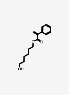 C=C(C(=O)OCCCCCCO)c1ccccc1